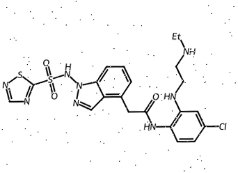 CCNCCNc1cc(Cl)ccc1NC(=O)Cc1cccc2c1cnn2NS(=O)(=O)c1ncns1